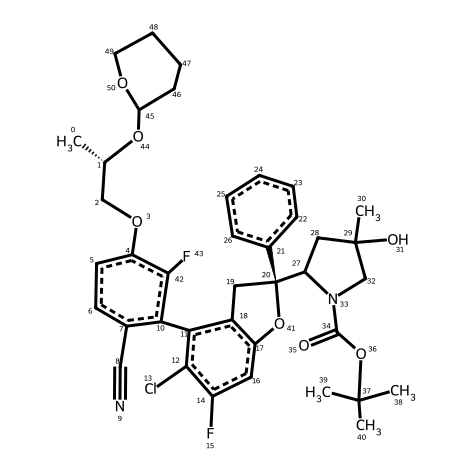 C[C@@H](COc1ccc(C#N)c(-c2c(Cl)c(F)cc3c2C[C@](c2ccccc2)(C2CC(C)(O)CN2C(=O)OC(C)(C)C)O3)c1F)OC1CCCCO1